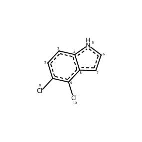 Clc1ccc2[nH]ccc2c1Cl